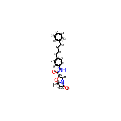 O=C(Nc1ccc(CCCCc2ccccc2)cc1)[C@H]1CN2C(=O)C[C@@H]2O1